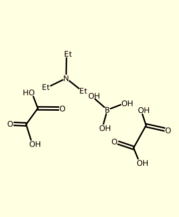 CCN(CC)CC.O=C(O)C(=O)O.O=C(O)C(=O)O.OB(O)O